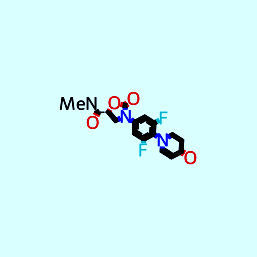 CNC(=O)[C@H]1CN(c2cc(F)c(N3C=CC(=O)CC3)c(F)c2)C(=O)O1